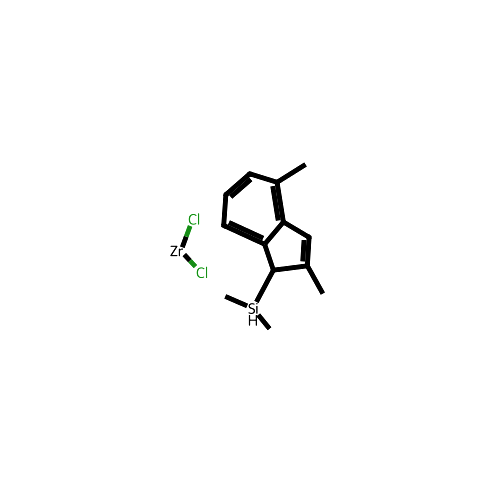 CC1=Cc2c(C)cccc2C1[SiH](C)C.[Cl][Zr][Cl]